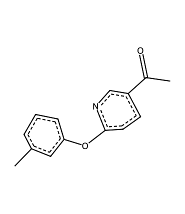 CC(=O)c1ccc(Oc2cccc(C)c2)nc1